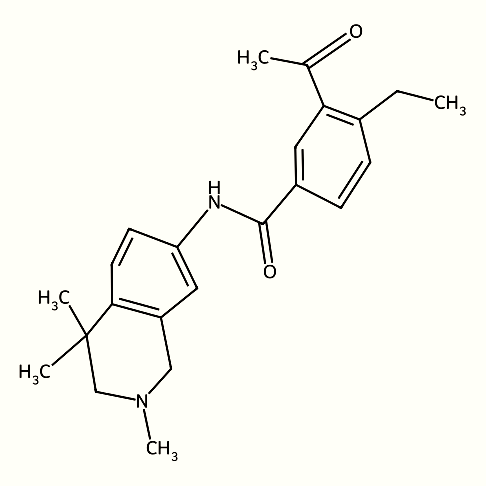 CCc1ccc(C(=O)Nc2ccc3c(c2)CN(C)CC3(C)C)cc1C(C)=O